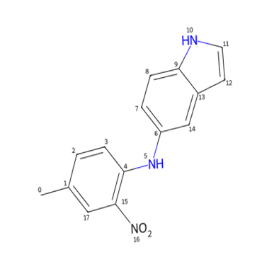 Cc1ccc(Nc2ccc3[nH]ccc3c2)c([N+](=O)[O-])c1